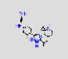 C=C(C[C@H]1CCN(C)C2(CC2)C1)C1=NC=C([C@H]2CCC(NC#CNC)CC2C)NN1